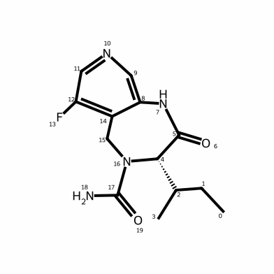 CCC(C)[C@H]1C(=O)Nc2cncc(F)c2CN1C(N)=O